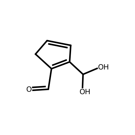 O=CC1=C(C(O)O)C=CC1